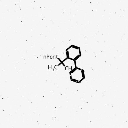 CCCCCC(C)(C)c1ccccc1-c1ccccc1